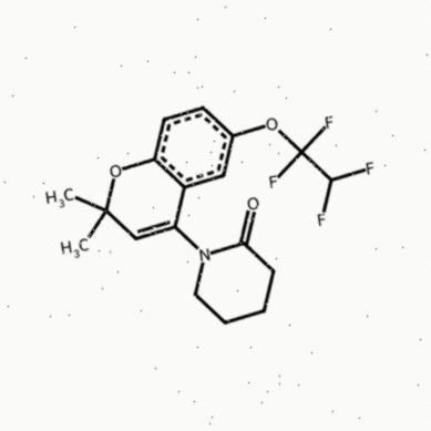 CC1(C)C=C(N2CCCCC2=O)c2cc(OC(F)(F)C(F)F)ccc2O1